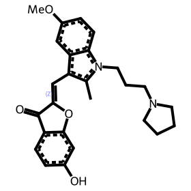 COc1ccc2c(c1)c(/C=C1\Oc3cc(O)ccc3C1=O)c(C)n2CCCN1CCCC1